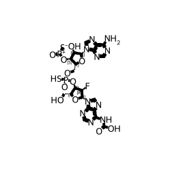 Nc1ncnc2c1ncn2[C@@H]1O[C@H](COP(=O)(S)O[C@H]2[C@@H](F)[C@H](n3cnc4c(NC(=O)O)ncnc43)O[C@@H]2CO)[C@@H](O[P+](=O)[S-])[C@H]1O